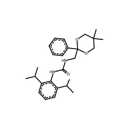 CC(C)c1cccc(C(C)C)c1NC(=O)NCC1(c2ccccc2)OCC(C)(C)CO1